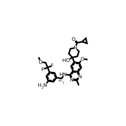 COCC(F)(F)c1cc(N)cc([C@@H](C)Nc2nc(C)nc3cc(OC)c(C4(O)CCN(C(=O)C5CC5)CC4)cc23)c1